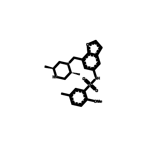 COc1ccc(C)cc1S(=O)(=O)Nc1cc(CN2C[C@H](C)NC[C@H]2C)c2occc2c1